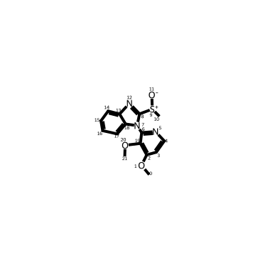 COc1ccnc(-n2c([S+](C)[O-])nc3ccccc32)c1OC